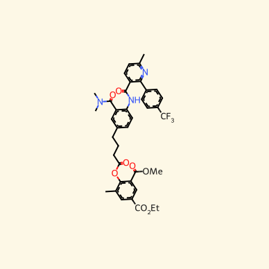 CCOC(=O)c1cc(C)c(OC(=O)CCCc2ccc(NC(=O)c3ccc(C)nc3-c3ccc(C(F)(F)F)cc3)c(C(=O)N(C)C)c2)c(C(=O)OC)c1